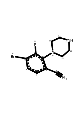 N#Cc1ccc(Br)c(F)c1N1CCNCC1